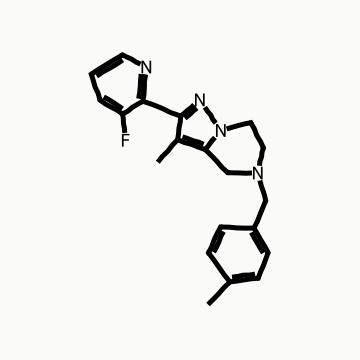 Cc1ccc(CN2CCn3nc(-c4ncccc4F)c(C)c3C2)cc1